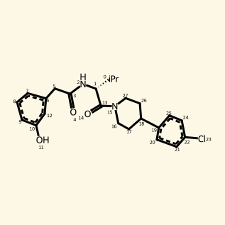 CC(C)[C@@H](NC(=O)Cc1cccc(O)c1)C(=O)N1CCC(c2ccc(Cl)cc2)CC1